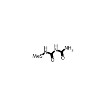 CSNC(=O)NC(N)=O